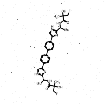 CC(O)(CF)C(=O)NC(c1nc(-c2ccc(-c3ccc(-c4c[nH]c(C(NC(=O)C(C)(O)CF)C(C)(C)C)n4)cc3)cc2)c[nH]1)C(C)(C)C